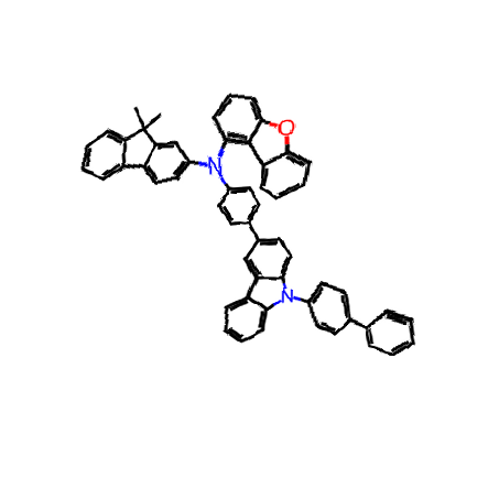 CC1(C)c2ccccc2-c2ccc(N(c3ccc(-c4ccc5c(c4)c4ccccc4n5-c4ccc(-c5ccccc5)cc4)cc3)c3cccc4oc5ccccc5c34)cc21